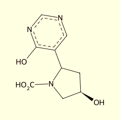 O=C(O)N1C[C@H](O)CC1c1cncnc1O